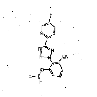 N#Cc1cccc(OC(F)F)c1-n1nnc(-c2ccc(F)cn2)n1